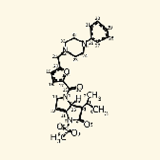 CC(C)[C@H]1C(=O)N(S(C)(=O)=O)C2=CCN(C(=O)c3ccc(CN4CCN(c5ccccc5)CC4)o3)[C@@H]21